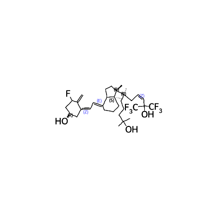 C=C1/C(=C\C=C2/CCC[C@@]3(C)C2CC[C@]3(C)[C@@](C)(C/C=C\C(O)(C(F)(F)F)C(F)(F)F)CCCC(C)(C)O)C[C@@H](O)CC1F